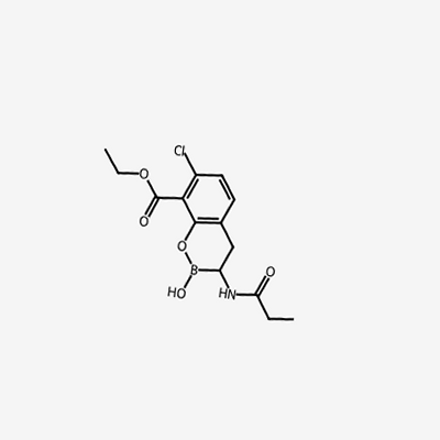 CCOC(=O)c1c(Cl)ccc2c1OB(O)C(NC(=O)CC)C2